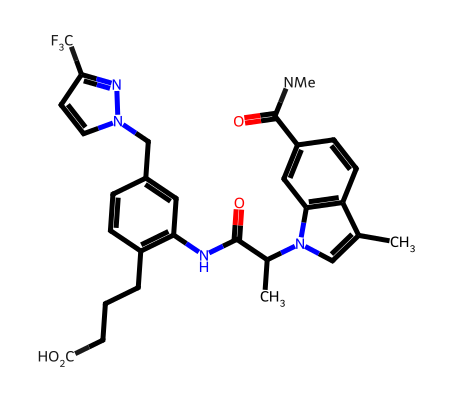 CNC(=O)c1ccc2c(C)cn(C(C)C(=O)Nc3cc(Cn4ccc(C(F)(F)F)n4)ccc3CCCC(=O)O)c2c1